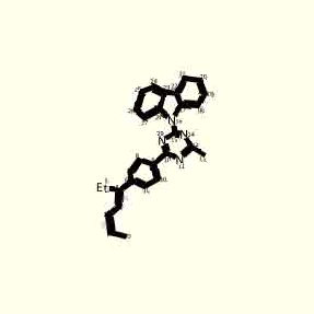 C/C=C\C=C(/CC)c1ccc(-c2nc(C)nc(-n3c4ccccc4c4ccccc43)n2)cc1